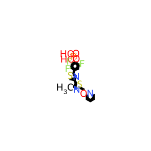 Cc1nc(COc2ccccn2)sc1-c1csc(-c2cc(F)c(OP(=O)(O)O)c(F)c2F)n1